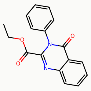 CCOC(=O)c1nc2ccccc2c(=O)n1-c1ccccc1